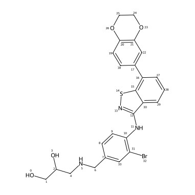 OCC(O)CNCc1ccc(Nc2nsc3c(-c4ccc5c(c4)OCCO5)cccc23)c(Br)c1